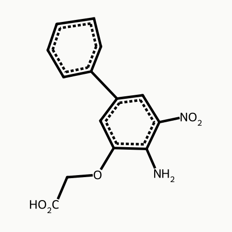 Nc1c(OCC(=O)O)cc(-c2ccccc2)cc1[N+](=O)[O-]